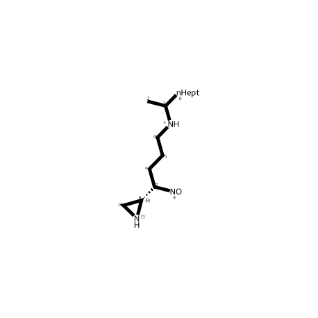 CCCCCCCC(C)NCCCC(N=O)[C@H]1CN1